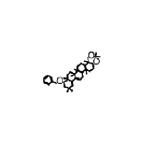 CC1(C)CC(OCc2ccccc2)C2(C)CCC3(C)C(=CCC4C5(C)CCC6OC(C)(C)OCC6(C)C5CCC43C)C2C1